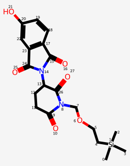 C[Si](C)(C)CCOCN1C(=O)CCC(N2C(=O)c3ccc(O)cc3C2=O)C1=O